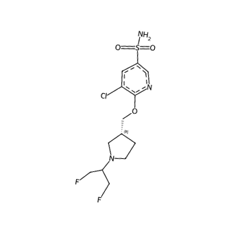 NS(=O)(=O)c1cnc(OC[C@@H]2CCN(C(CF)CF)C2)c(Cl)c1